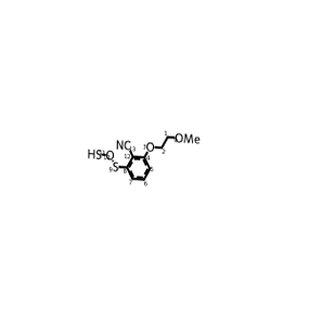 COCCOc1cccc(SOS)c1C#N